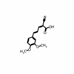 COc1ccc(C=CC=C(C#N)C(=O)O)cc1OC